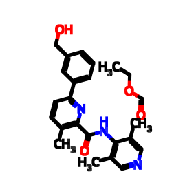 CCOC=O.Cc1ccc(-c2cccc(CO)c2)nc1C(=O)Nc1c(C)cncc1C